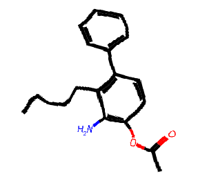 CCCCc1c(-c2ccccc2)ccc(OC(C)=O)c1N